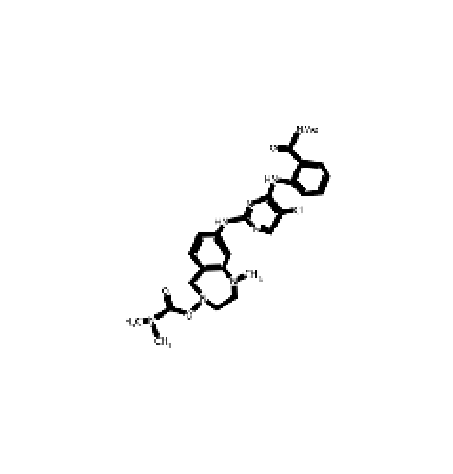 CNC(=O)c1ccccc1Nc1nc(Nc2ccc3c(c2)N(C)CCN(OC(=O)N(C)C)C3)ncc1Cl